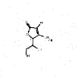 O=C1O[C@H](C(O)CO)C(O)=C1O.[Ag]